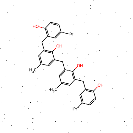 Cc1cc(Cc2cc(C(C)C)ccc2O)c(O)c(Cc2cc(C)cc(Cc3cc(C(C)C)ccc3O)c2O)c1